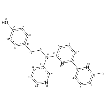 Cc1cccc(-c2nccc(N(CCc3ccc(O)cc3)c3cccnc3)n2)n1